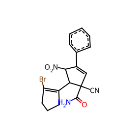 N#CC1(C(N)=O)C=C(c2ccccc2)C([N+](=O)[O-])C1C1=C(Br)CCC1